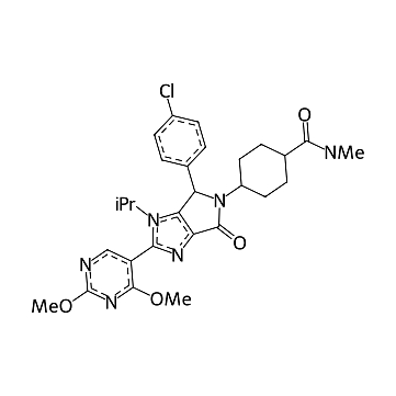 CNC(=O)C1CCC(N2C(=O)c3nc(-c4cnc(OC)nc4OC)n(C(C)C)c3C2c2ccc(Cl)cc2)CC1